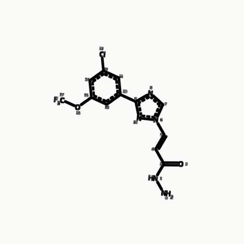 NNC(=O)C=Cn1cnc(-c2cc(Cl)cc(OC(F)(F)F)c2)n1